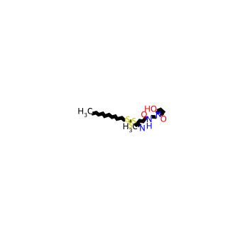 CCCCCCCCCCCCSC(=S)SC(C)(C#N)CCC(=O)NCCN1C(=O)C=CC1O